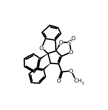 COC(=O)C1=C2OS(=O)O[C@@]23c2ccccc2O[C@@]3(c2ccccc2)[C@@H]1c1ccccc1